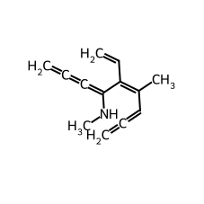 C=C=C=C(NC)/C(C=C)=C(/C)C=C=C